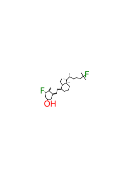 C=C1/C(=C\C=C2CCC[C@@]3(C)C2CC[C@@H]3[C@H](C)CCCC(C)(C)F)C[C@@H](O)CC1F